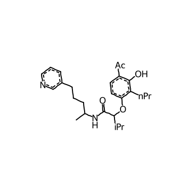 CCCc1c(OC(C(=O)NC(C)CCCc2cccnc2)C(C)C)ccc(C(C)=O)c1O